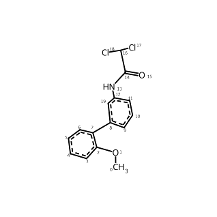 COc1ccccc1-c1cccc(NC(=O)C(Cl)Cl)c1